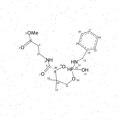 COC(=O)CCNC(=O)[C@@H]1O[PH](O)(NCc2ccccc2)OCC1(C)C